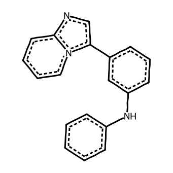 c1ccc(Nc2cccc(-c3cnc4ccccn34)c2)cc1